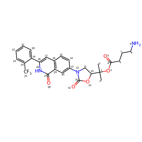 CC(C)(OC(=O)CCCN)C1CN(c2ccc3cc(-c4ccccc4C(F)(F)F)[nH]c(=O)c3c2)C(=O)O1